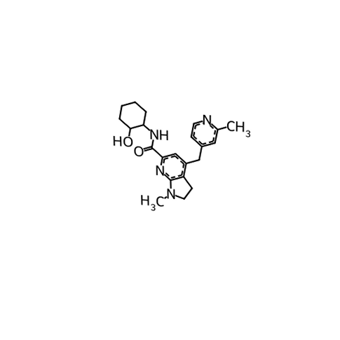 Cc1cc(Cc2cc(C(=O)NC3CCCCC3O)nc3c2CCN3C)ccn1